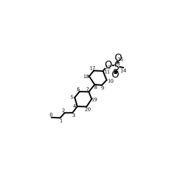 CCCCC1CCC(C2CCC(OS(C)(=O)=O)CC2)CC1